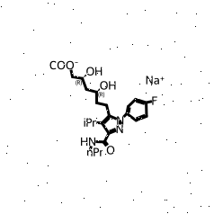 CCCNC(=O)c1nn(-c2ccc(F)cc2)c(CC[C@@H](O)C[C@@H](O)CC(=O)[O-])c1C(C)C.[Na+]